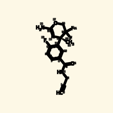 C#CCNC(=O)c1ccc(F)c([C@@]2(C)N=C(N)OCC2(F)F)c1